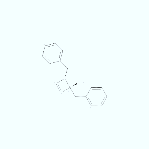 O=C(O)[C@@]1(Cc2ccccc2)N=NN1Cc1ccccc1